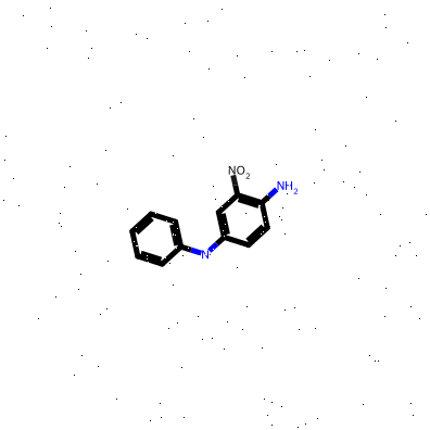 Nc1ccc([N]c2ccccc2)cc1[N+](=O)[O-]